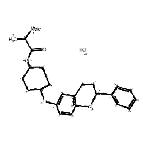 CNC(C)C(=O)NC1CCC(Oc2ccc3c(c2)CCC(c2ccccc2)O3)CC1.Cl